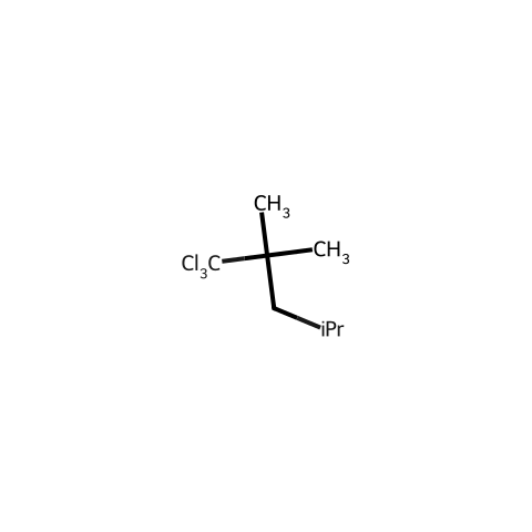 CC(C)CC(C)(C)C(Cl)(Cl)Cl